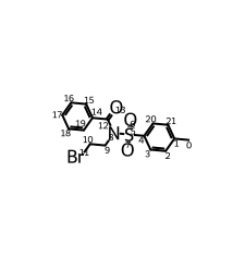 Cc1ccc(S(=O)(=O)N(CCBr)C(=O)c2ccccc2)cc1